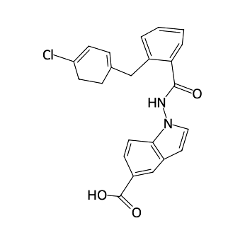 O=C(O)c1ccc2c(ccn2NC(=O)c2ccccc2CC2=CC=C(Cl)CC2)c1